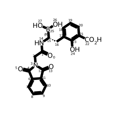 O=C(CN1C(=O)c2ccccc2C1=O)N[C@@H](Cc1cccc(C(=O)O)c1O)B(O)O